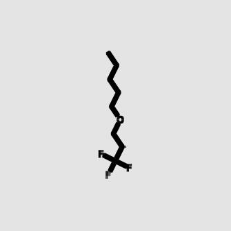 CCCCCOC[CH]C(F)(F)F